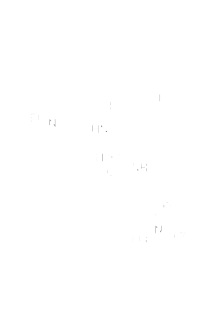 CCCN(CCC)C(=O)c1cc(C)cc(C(=O)N[C@@H](Cc2cc(F)cc(F)c2)[C@H](O)CNCc2cccc(N(CC)CC)c2)c1